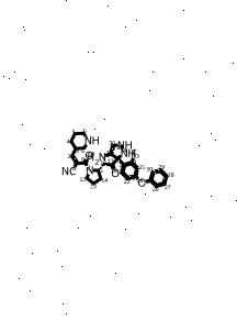 N#CC(=CC1CCCNC1)C(=O)N1CCC[C@@H]1CC(=O)C1(c2ccc(Oc3ccccc3)cc2F)NNC=C1N